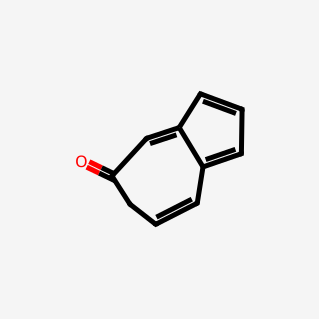 O=C1C=C2C=CC=C2C=CC1